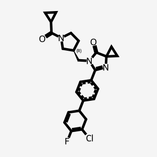 O=C(C1CC1)N1CC[C@@H](CN2C(=O)C3(CC3)N=C2c2ccc(C3C=CC(F)=C(Cl)C3)cc2)C1